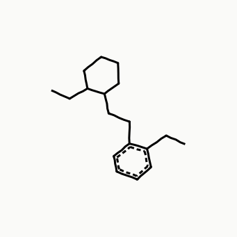 CCc1ccccc1CCC1CCCCC1CC